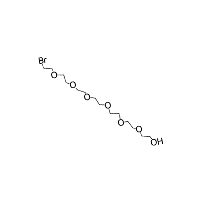 OCCOCCOCCOCCOCCOCCOCCBr